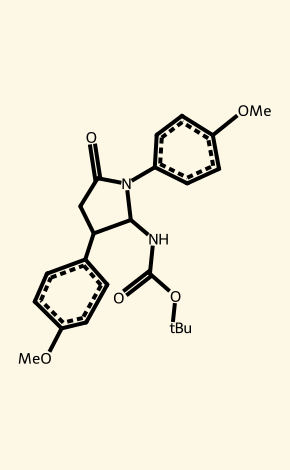 COc1ccc(C2CC(=O)N(c3ccc(OC)cc3)C2NC(=O)OC(C)(C)C)cc1